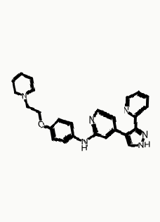 c1ccc(-c2n[nH]cc2-c2ccnc(Nc3ccc(OCCN4CCCCC4)cc3)c2)nc1